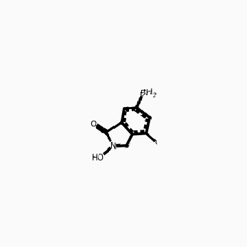 Bc1cc(I)c2c(c1)C(=O)N(O)C2